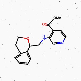 COC(=O)c1ccncc1NCC1OCCc2ccccc21